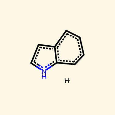 [H].c1ccc2[nH]ccc2c1